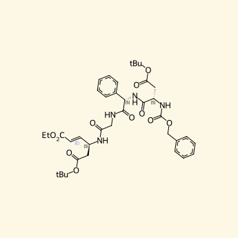 CCOC(=O)/C=C/[C@H](CC(=O)OC(C)(C)C)NC(=O)CNC(=O)[C@@H](NC(=O)[C@H](CC(=O)OC(C)(C)C)NC(=O)OCc1ccccc1)c1ccccc1